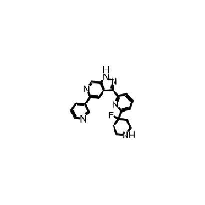 FC1(c2cccc(-c3n[nH]c4cnc(-c5cccnc5)cc34)n2)CCNCC1